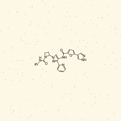 CC(C)NC(=O)N1CCC1n1cc(NC(=O)c2ccc(-c3cn[nH]c3)o2)c(-c2ccccn2)n1